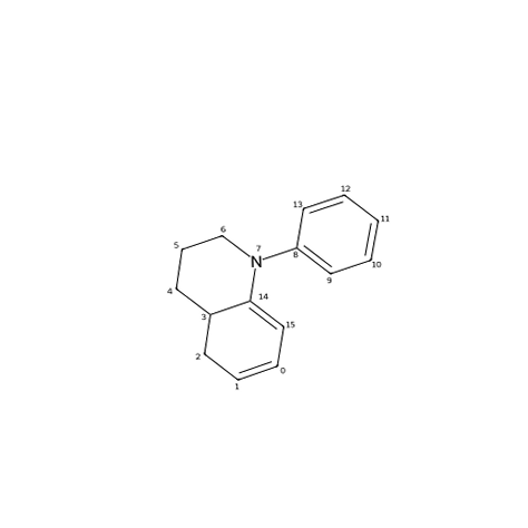 C1=CCC2CCCN(c3ccccc3)C2=C1